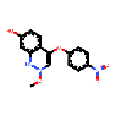 CON1C=C(Oc2ccc([N+](=O)[O-])cc2)c2ccc(O)cc2N1